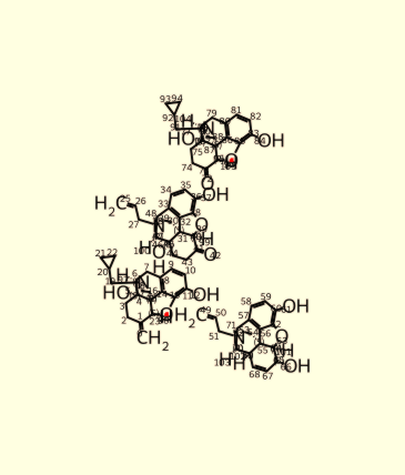 C=C1CC[C@@]2(O)[C@H]3Cc4ccc(O)c5c4[C@@]2(CCN3CC2CC2)[C@H]1O5.C=CCN1CC[C@]23c4c5ccc(O)c4O[C@H]2C(=O)CC[C@@]3(O)[C@H]1C5.C=CCN1CC[C@]23c4c5ccc(O)c4O[C@H]2[C@@H](O)C=C[C@H]3[C@H]1C5.O=C1CC[C@@]2(O)[C@H]3Cc4ccc(O)c5c4[C@@]2(CCN3CC2CC2)[C@H]1O5